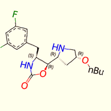 CCCCO[C@H]1CN[C@@H]([C@H]2OC(=O)N[C@H]2Cc2cc(F)cc(F)c2)C1